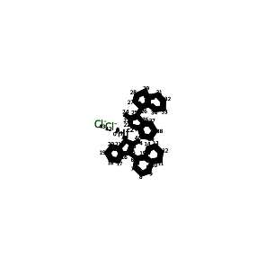 [CH2]=[Hf+2]([CH]1C(C)=C(c2cccc3ccccc23)c2ccccc21)[CH]1C(C)=C(c2cccc3ccccc23)c2ccccc21.[Cl-].[Cl-]